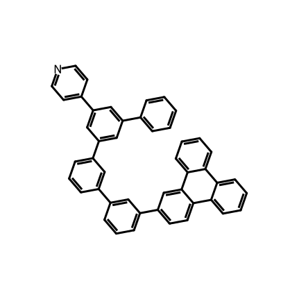 c1ccc(-c2cc(-c3ccncc3)cc(-c3cccc(-c4cccc(-c5ccc6c7ccccc7c7ccccc7c6c5)c4)c3)c2)cc1